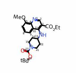 CCOC(=O)c1cnc2c(OC)cccc2c1NC1CCN(C(=O)OC(C)(C)C)CC1